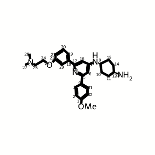 COc1ccc(-c2cc(N[C@H]3CC[C@H](N)CC3)cc(-c3cccc(OCCN(C)C)c3)n2)cc1